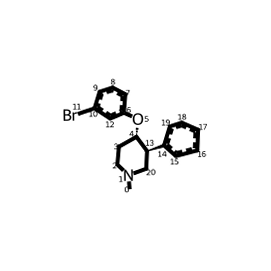 CN1CC[C@H](Oc2cccc(Br)c2)[C@@H](c2ccccc2)C1